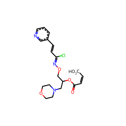 O=C(O)/C=C\C(=O)OC(CON=C(Cl)C=Cc1cccnc1)CN1CCOCC1